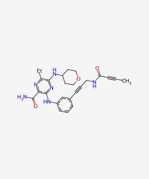 CC#CC(=O)NCC#Cc1cccc(Nc2nc(NC3CCOCC3)c(CC)nc2C(N)=O)c1